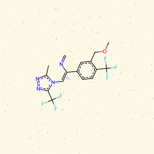 C=N/C(=C\n1c(C)nnc1C(F)(F)F)c1ccc(C(F)(F)F)c(COC)c1